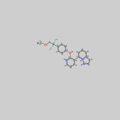 COCC(F)(F)c1ccc(Oc2ncccc2-c2cccc3ccnn23)cc1